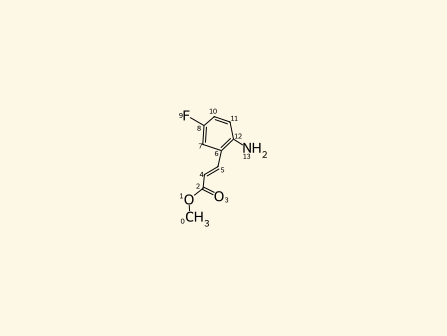 COC(=O)/C=C/c1cc(F)ccc1N